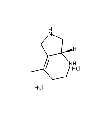 CC1=C2CNC[C@@H]2NCC1.Cl.Cl